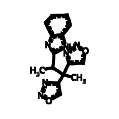 C[C](c1nc2ccccc2[nH]1)C(C)(c1conn1)c1conn1